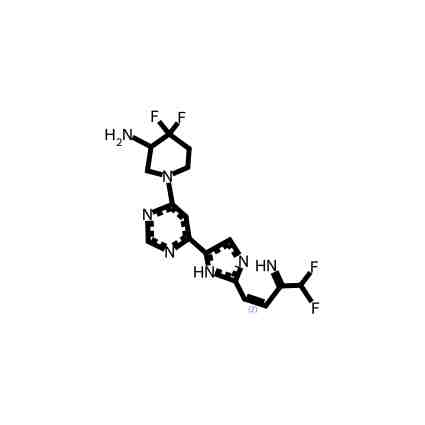 N=C(/C=C\c1ncc(-c2cc(N3CCC(F)(F)C(N)C3)ncn2)[nH]1)C(F)F